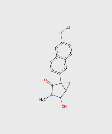 CCOc1ccc2cc(C34CC3C(O)N(C)C4=O)ccc2c1